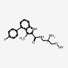 CCCOC[C@H](N)CNC(=O)c1[nH]c2cccc(-c3ccc(F)cc3)c2c1C